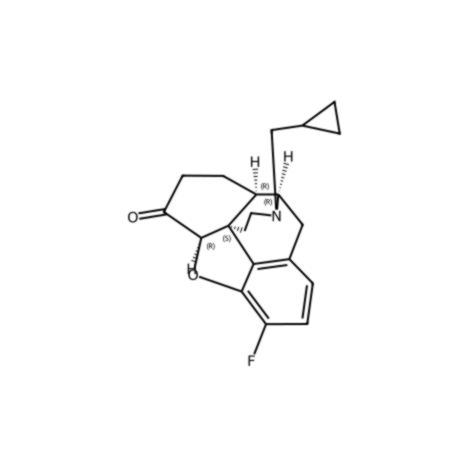 O=C1CC[C@H]2[C@H]3Cc4ccc(F)c5c4[C@@]2(CCN3CC2CC2)[C@H]1O5